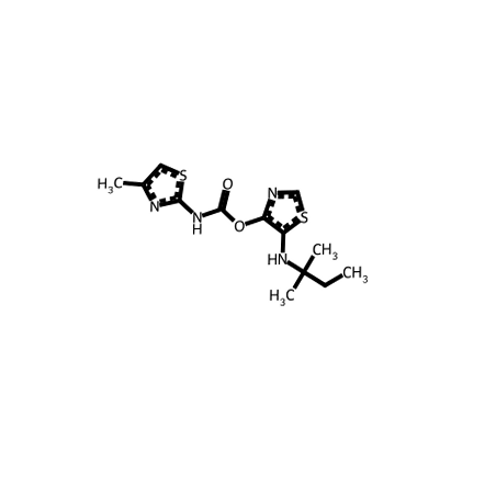 CCC(C)(C)Nc1scnc1OC(=O)Nc1nc(C)cs1